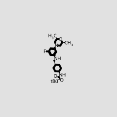 C[C@@H]1CN(c2cc(F)cc(NC[C@H]3CC[C@H](NS(=O)(=O)C(C)(C)C)CC3)c2)C[C@H](C)O1